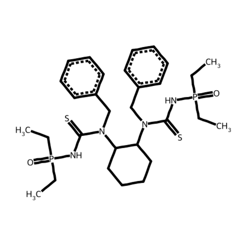 CCP(=O)(CC)NC(=S)N(Cc1ccccc1)C1CCCCC1N(Cc1ccccc1)C(=S)NP(=O)(CC)CC